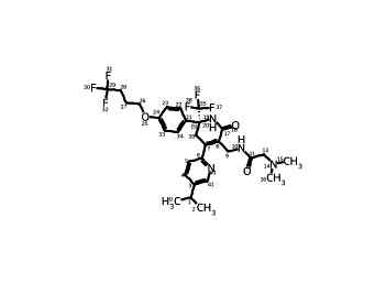 CC(C)c1ccc(C2=C(CNC(=O)CN(C)C)C(=O)N[C@@](c3ccc(OCCCC(F)(F)F)cc3)(C(F)(F)F)C2)nc1